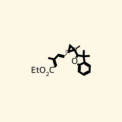 CCOC(=O)C=C(C)C=C[C@@H]1C[C@]1(C)C1Oc2ccccc2C1(C)C